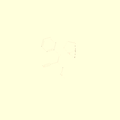 C1CN2CC2N1.CNCC(C#N)Oc1ccccc1